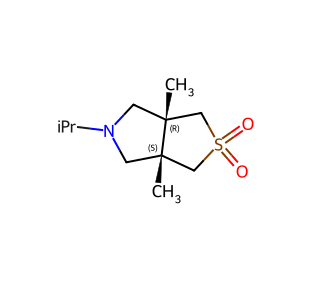 CC(C)N1C[C@@]2(C)CS(=O)(=O)C[C@@]2(C)C1